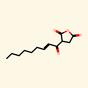 CCCCCCC=CC(=O)C1CC(=O)OC1=O